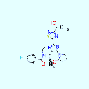 CC(O)c1nsc(-c2nc(N3CCCC3=O)c3n2CCN(C(=O)c2ccc(F)cc2)C3C)n1